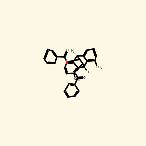 Cc1cccc2c1[C@H]1c3c(C)cccc3[C@H]2C(OC(=O)c2ccccc2)C1OC(=O)c1ccccc1